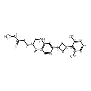 COC(=O)CC[C@H]1CNc2cc(N3CC(c4c(Cl)cccc4Cl)C3)ccc2O1